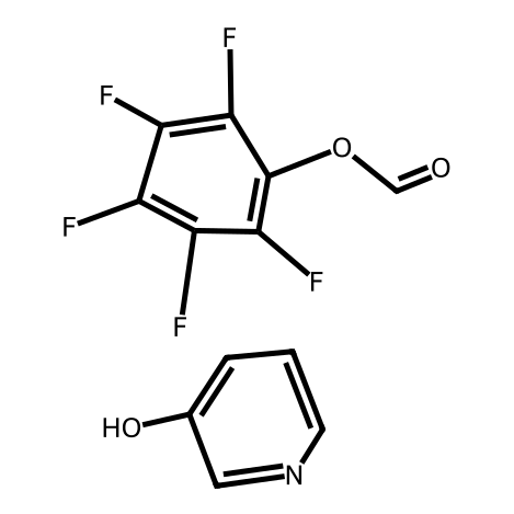 O=COc1c(F)c(F)c(F)c(F)c1F.Oc1cccnc1